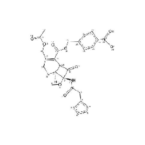 CO[C@@]1(NC(=O)Cc2cccs2)C(=O)N2C(C(=O)OCc3ccc([N+](=O)[O-])cc3)=C(COC(C)=O)CS[C@@H]21